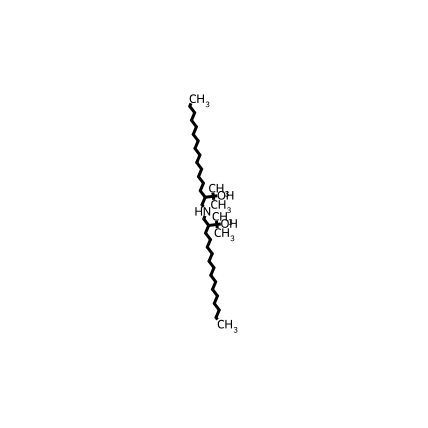 CCCCCCCCCCCCCCC(CNCC(CCCCCCCCCCCCCC)C(C)(C)O)C(C)(C)O